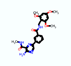 CNC(=O)c1nc(-c2cccc(C(=O)NCc3c(OC)cc(OC)cc3OC)c2)cnc1N